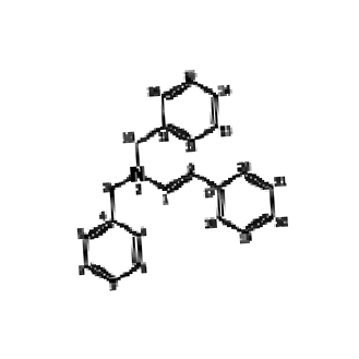 C(=CN(Cc1ccccc1)Cc1ccccc1)c1ccccc1